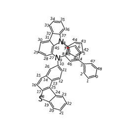 c1ccc(-c2cccc(N(c3ccc4c(ccc5sc6ccccc6c54)c3)c3cccc4c5ccccc5n(-c5ccccc5)c34)c2)cc1